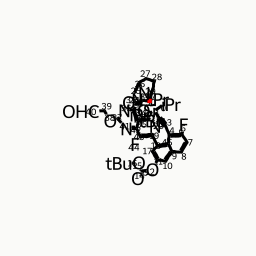 CC(C)[Si](C#Cc1c(F)ccc2cc(OC(=O)OC(C)(C)C)cc(-c3ncc4c(N5CC6CCC(C5)N6C(=O)OC(C)(C)C)nc(OCC=O)nc4c3F)c12)(C(C)C)C(C)C